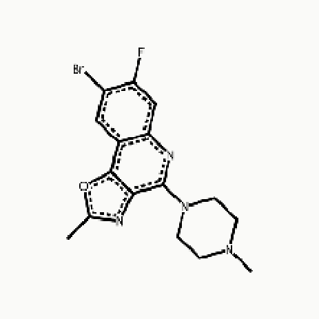 Cc1nc2c(N3CCN(C)CC3)nc3cc(F)c(Br)cc3c2o1